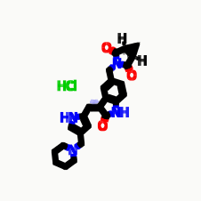 Cl.O=C1Nc2ccc(CN3C(=O)[C@H]4C[C@H]4C3=O)cc2/C1=C/c1cc(CN2CCCCC2)c[nH]1